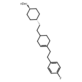 CCCCCCCCCC[C@H]1CC[C@H](CCC2CC=C(CCc3ccc(F)cc3)CC2)CC1